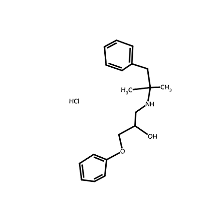 CC(C)(Cc1ccccc1)NCC(O)COc1ccccc1.Cl